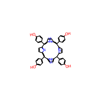 Oc1ccc(/C2=C3\C=CC(=N3)/C(c3ccc(O)cc3)=c3/cc/c([nH]3)=C(\c3ccc(O)cc3)C3=NC(C=C3)C(c3ccc(O)cc3)c3ccc2[nH]3)cc1